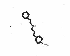 COc1ccc(CCCNCCc2ccccc2)cc1